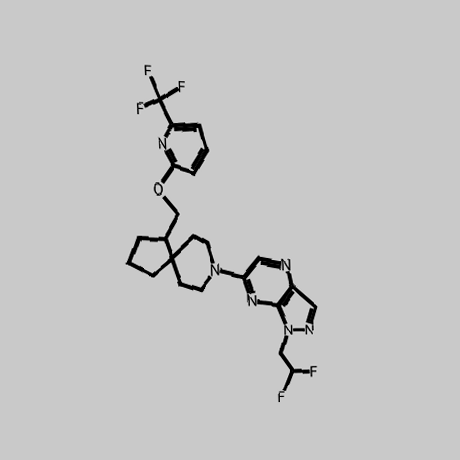 FC(F)Cn1ncc2ncc(N3CCC4(CCCC4COc4cccc(C(F)(F)F)n4)CC3)nc21